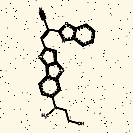 CN(CCO)c1ccc2c(c1)sc1cc(/C=C(/C#N)c3nc4ccccc4o3)sc12